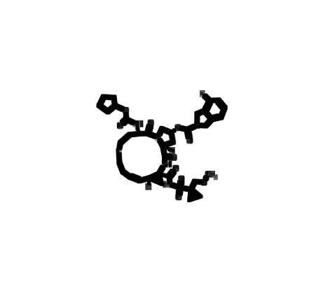 COCC1(S(=O)(=O)NC(=O)[C@@]23C[C@H]2/C=C\CCCCC[C@H](NC(=O)OC2CCCC2)C(=O)N2C[C@H](OC(=O)N4Cc5cccc(F)c5C4)C[C@H]2C(=O)N3)CC1